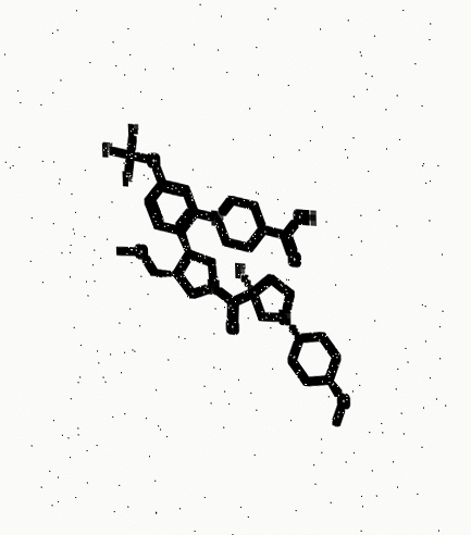 COC[C@H]1CN(C(=O)[C@@]2(F)CCN([C@H]3CC[C@H](OC)CC3)C2)C[C@@H]1c1ccc(OC(F)(F)F)cc1N1CCC(C(=O)O)CC1